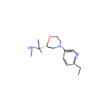 CCc1ccc(N2CCO[C@@H](C(C)(C)NC)C2)cn1